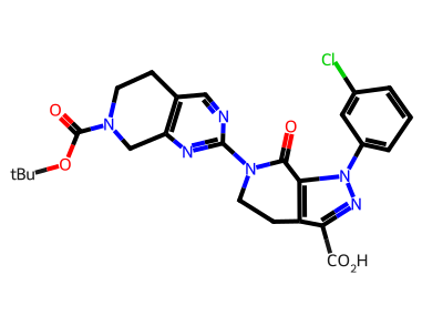 CC(C)(C)OC(=O)N1CCc2cnc(N3CCc4c(C(=O)O)nn(-c5cccc(Cl)c5)c4C3=O)nc2C1